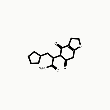 COC(=O)C(CC1CCCC1)C1C(=O)CC2=C(CCS2)C1=O